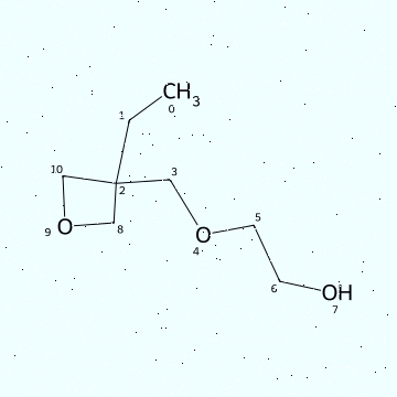 CCC1(COCCO)COC1